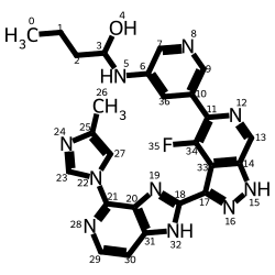 CCCC(O)Nc1cncc(-c2ncc3[nH]nc(-c4nc5c(-n6cnc(C)c6)nccc5[nH]4)c3c2F)c1